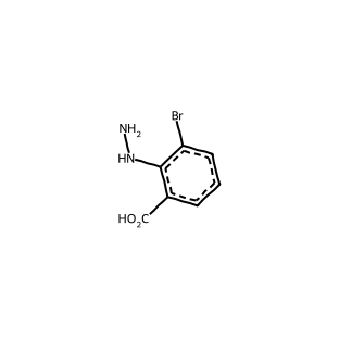 NNc1c(Br)cccc1C(=O)O